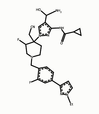 CCn1ccc(-c2ccc(CN3CCC(CC#N)(n4cc(C(N)O)c(NC(=O)C5CC5)n4)C(F)C3)c(F)c2)n1